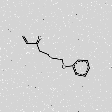 C=CC(=O)CCCCOc1ccccc1